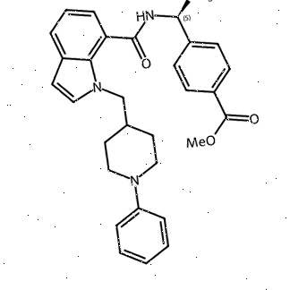 COC(=O)c1ccc([C@H](C)NC(=O)c2cccc3ccn(CC4CCN(c5ccccc5)CC4)c23)cc1